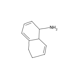 NC1C=CC=C2CCC=CC21